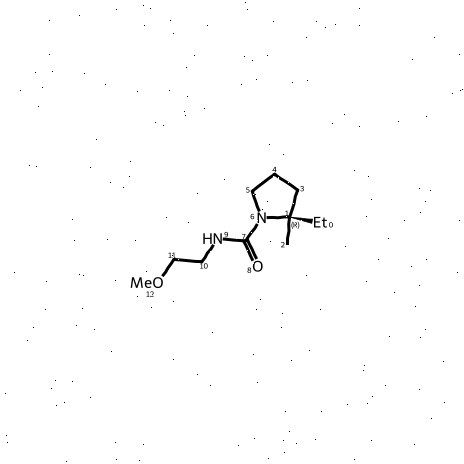 CC[C@]1(C)CCCN1C(=O)NCCOC